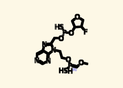 CO/C=[PH](/S)OCCn1c(COP(S)OC2COCC2F)nc2cncnc21